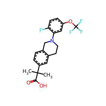 CC(C)(C(=O)O)c1ccc2c(c1)CCN(c1cc(OC(F)(F)F)ccc1F)C2